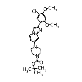 COc1cc(OC)c(-c2cn3ccc(N4CCN(C(=O)OC(C)(C)C)CC4)cc3n2)cc1Cl